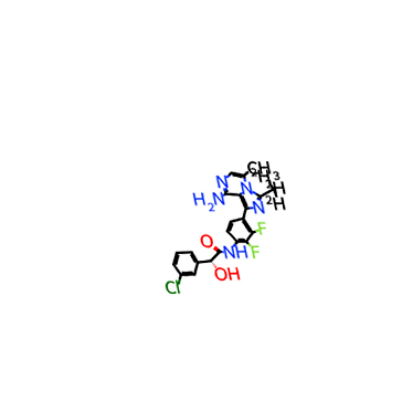 [2H]C([2H])([2H])c1nc(-c2ccc(NC(=O)[C@H](O)c3cccc(Cl)c3)c(F)c2F)c2c(N)ncc(C)n12